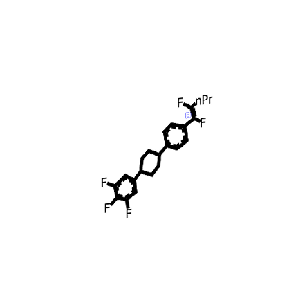 CCC/C(F)=C(\F)c1ccc(C2CCC(c3cc(F)c(F)c(F)c3)CC2)cc1